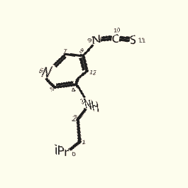 CC(C)CCNc1cncc(N=C=S)c1